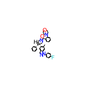 Cc1cc2c(cnn2-c2ccc(F)cc2)cc1[C@@]12CN(C(=O)c3ccccc3N3CCOCC3)C[C@@H]1[C@H]2c1ccccc1